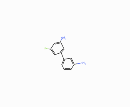 Nc1cccc(-c2cc(N)cc(F)c2)c1